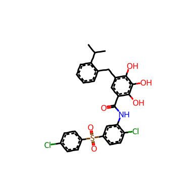 CC(C)c1ccccc1Cc1cc(C(=O)Nc2cc(S(=O)(=O)c3ccc(Cl)cc3)ccc2Cl)c(O)c(O)c1O